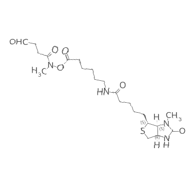 CN(OC(=O)CCCCCNC(=O)CCCC[C@@H]1SC[C@@H]2NC(=O)N(C)[C@@H]21)C(=O)CCC=O